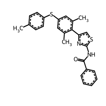 Cc1ccc(Sc2cc(C)c(-c3csc(NC(=O)c4ccccc4)n3)c(C)c2)cc1